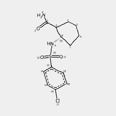 NC(=O)C1CCCC[C@@H]1NS(=O)(=O)c1ccc(Cl)cc1